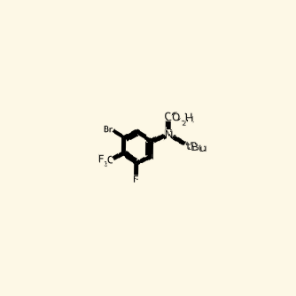 CC(C)(C)N(C(=O)O)c1cc(F)c(C(F)(F)F)c(Br)c1